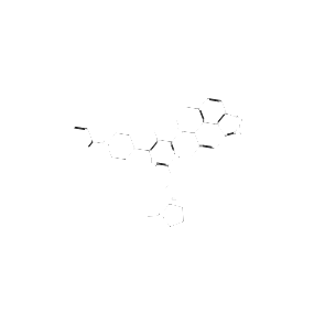 C=CC(=O)N1CCC(c2nc(OC[C@@H]3CCCN3C)nc(N(C)C(/C(C)=C\C)c3c(C)ccc4[nH]ncc34)c2O)CC1